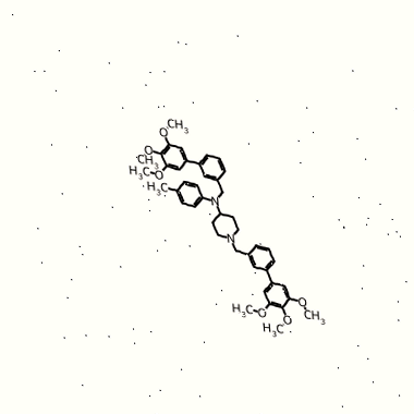 COc1cc(-c2cccc(CN3CCC(N(Cc4cccc(-c5cc(OC)c(OC)c(OC)c5)c4)c4ccc(C)cc4)CC3)c2)cc(OC)c1OC